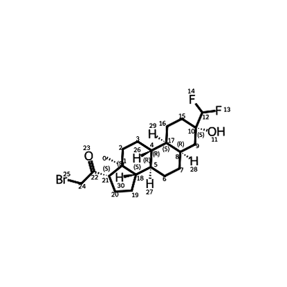 C[C@]12CC[C@H]3[C@@H](CC[C@@H]4C[C@](O)(C(F)F)CC[C@@H]43)[C@@H]1CC[C@@H]2C(=O)CBr